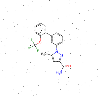 Cc1cc(C(N)=O)nn1-c1cccc(-c2ccccc2OC(F)(F)F)c1